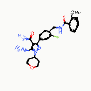 COc1ccccc1C(=O)NCc1ccc(-c2nn(C3CCOCC3)c(N)c2C(N)=O)cc1F